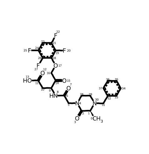 C[C@H]1C(=O)N(CC(=O)NC(CC(=O)O)C(=O)COc2c(F)c(F)cc(F)c2F)CCN1Cc1ccccc1